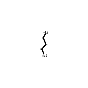 [Li][CH2]C[CH]CC